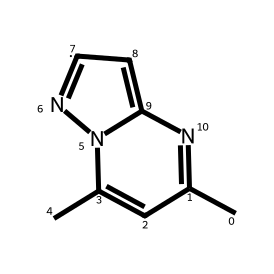 Cc1cc(C)n2n[c]cc2n1